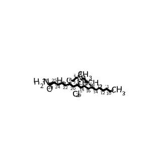 C=CC[N+](C)(C)CCC.CCCCCCCCCCCCCCCCCC(N)=O.[Cl-]